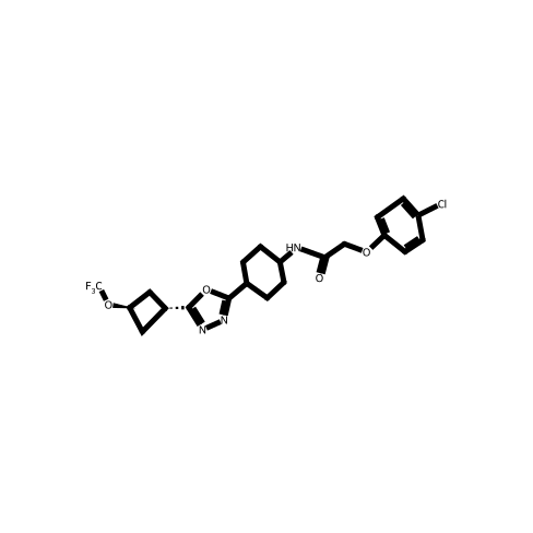 O=C(COc1ccc(Cl)cc1)NC1CCC(c2nnc([C@H]3C[C@H](OC(F)(F)F)C3)o2)CC1